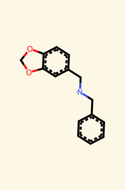 c1ccc(C[N]Cc2ccc3c(c2)OCO3)cc1